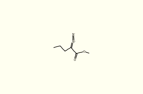 CCCC(=[N+]=[N-])C(=O)OC